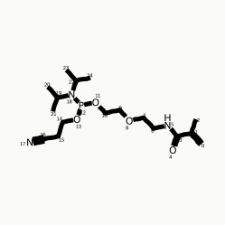 C=C(C)C(=O)NCCOCCOP(OCCC#N)N(C(C)C)C(C)C